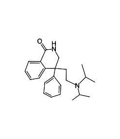 CC(C)N(CCC1(c2ccccc2)CNC(=O)c2ccccc21)C(C)C